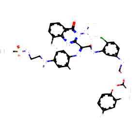 CCCCC(OCNc1ccc(Cl)c(NC(=O)/C(=N/c2ccc(N(CC)CCNS(C)(=O)=O)cc2C)c2nc3c(C#N)cccc3c(=O)n2N(C)C)c1)Oc1ccc(C)cc1C